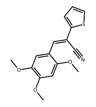 COc1cc(OC)c(OC)cc1C=C(C#N)c1cccs1